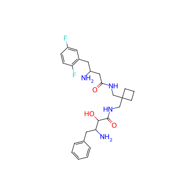 NC(CC(=O)NCC1(CNC(=O)C(O)C(N)Cc2ccccc2)CCC1)Cc1cc(F)ccc1F